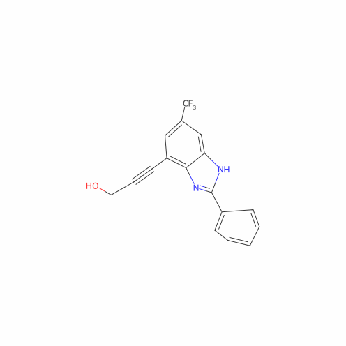 OCC#Cc1cc(C(F)(F)F)cc2[nH]c(-c3ccccc3)nc12